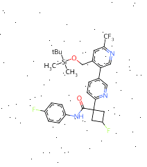 CC(C)(C)[Si](C)(C)OCc1cc(C(F)(F)F)ncc1-c1ccc(C2(C(=O)Nc3ccc(F)cc3)CC(F)C2)nc1